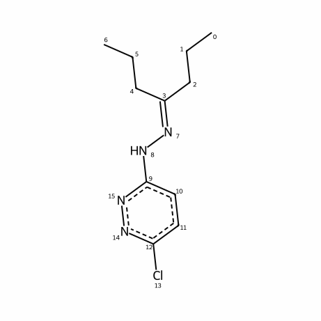 CCCC(CCC)=NNc1ccc(Cl)nn1